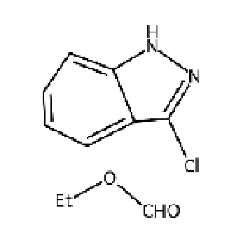 CCOC=O.Clc1n[nH]c2ccccc12